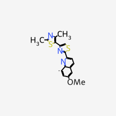 COc1c[c]c2nc(-c3nc(-c4sc(C)nc4C)cs3)ccc2c1